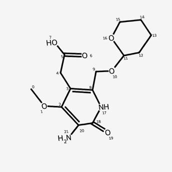 COc1c(CC(=O)O)c(COC2CCCCO2)[nH]c(=O)c1N